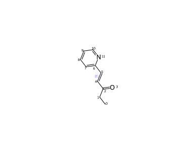 CCC(=O)/C=C/c1ccccn1